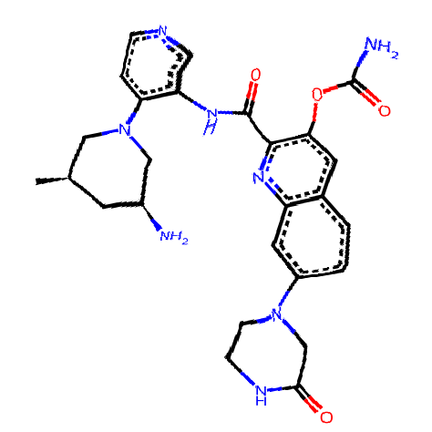 C[C@@H]1C[C@H](N)CN(c2ccncc2NC(=O)c2nc3cc(N4CCNC(=O)C4)ccc3cc2OC(N)=O)C1